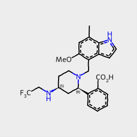 COc1cc(C)c2[nH]ccc2c1CN1CC[C@H](NCC(F)(F)F)C[C@@H]1c1ccccc1C(=O)O